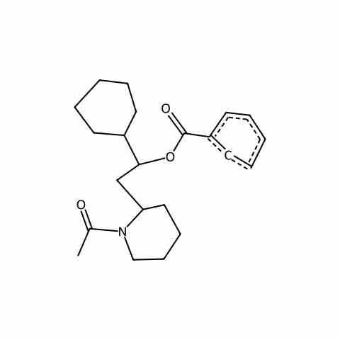 CC(=O)N1CCCCC1CC(OC(=O)c1ccccc1)C1CCCCC1